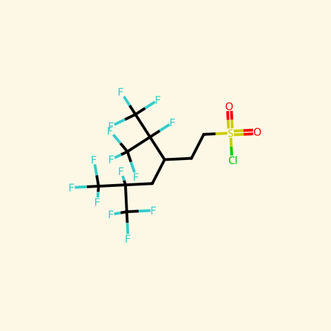 O=S(=O)(Cl)CCC(CC(F)(C(F)(F)F)C(F)(F)F)C(F)(C(F)(F)F)C(F)(F)F